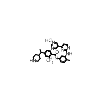 Cc1ccc(NC(=O)c2ccc(C(C)C3CCNCC3)cc2C(F)(F)F)cc1Nc1nccc(-c2cncnc2)n1.Cl